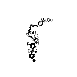 Cc1c(NC(=O)c2ccc(C3CC3)cc2F)cc(F)cc1-c1ncnc(N)c1OCCN(C)C(=O)/C=C/CN(C)CCCN1CCN(C(=O)OC(C)(C)C)CC1